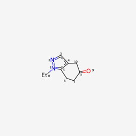 CCn1ncc2c1CCC(=O)C2